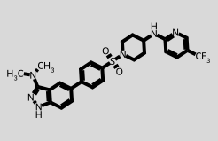 CN(C)c1n[nH]c2ccc(-c3ccc(S(=O)(=O)N4CCC(Nc5ccc(C(F)(F)F)cn5)CC4)cc3)cc12